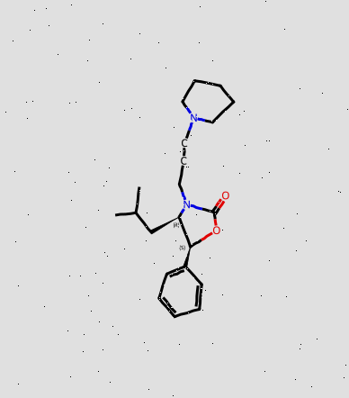 CC(C)C[C@@H]1[C@H](c2ccccc2)OC(=O)N1CCCN1CCCCC1